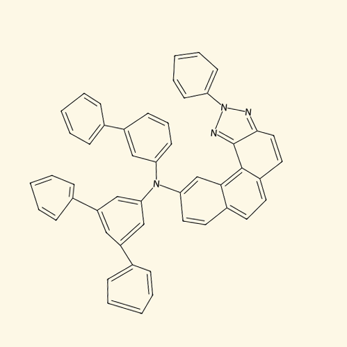 c1ccc(-c2cccc(N(c3cc(-c4ccccc4)cc(-c4ccccc4)c3)c3ccc4ccc5ccc6nn(-c7ccccc7)nc6c5c4c3)c2)cc1